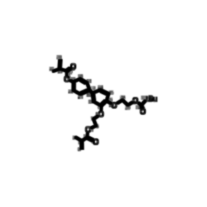 C=C(C)C(=O)OCCOc1cc(-c2ccc(OC(=O)C(=C)C)cc2)ccc1OCCOC(=O)C(C)(C)C